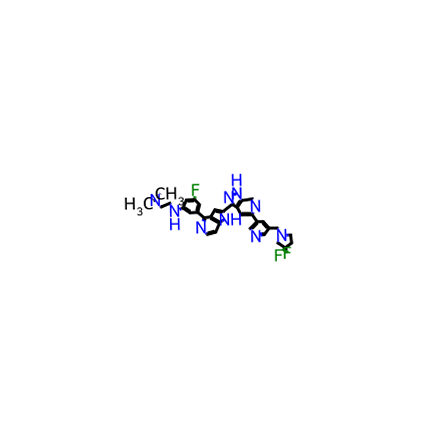 CN(C)CCNc1cc(F)cc(-c2nccc3[nH]c(-c4n[nH]c5cnc(-c6cncc(CN7CCC(F)(F)C7)c6)cc45)cc23)c1